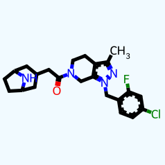 Cc1nn(Cc2ccc(Cl)cc2F)c2c1CCN(C(=O)CC1CC3CCC(C1)N3)C2